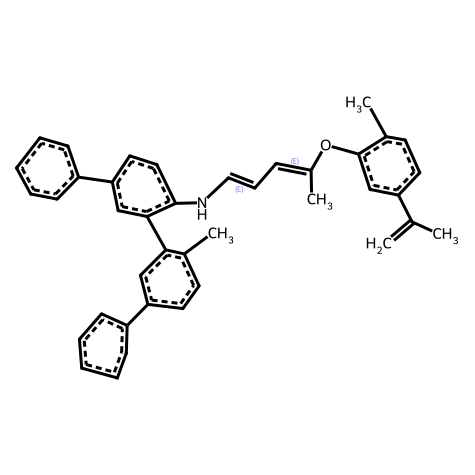 C=C(C)c1ccc(C)c(O/C(C)=C/C=C/Nc2ccc(-c3ccccc3)cc2-c2cc(-c3ccccc3)ccc2C)c1